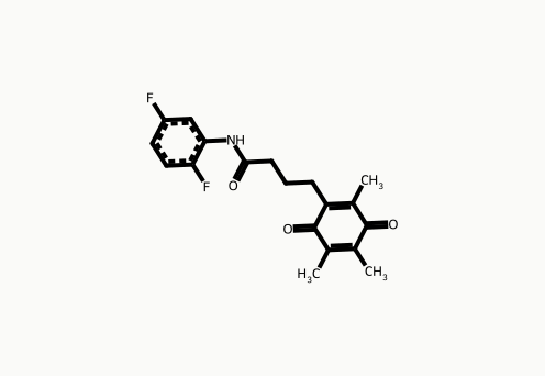 CC1=C(C)C(=O)C(CCCC(=O)Nc2cc(F)ccc2F)=C(C)C1=O